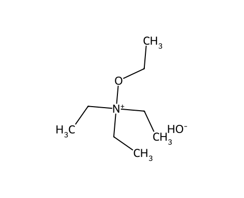 CCO[N+](CC)(CC)CC.[OH-]